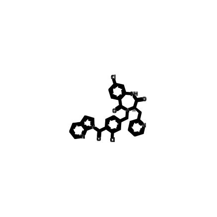 O=C1Nc2cc(Cl)ccc2C(=O)N(Cc2ccc(C(=O)n3ccc4cccnc43)c(Cl)c2)[C@@H]1Cc1ccccn1